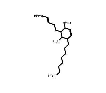 CCCCCC=CCCC1C(CCCCCC)C=CC(CCCCCCCC(=O)O)C1C